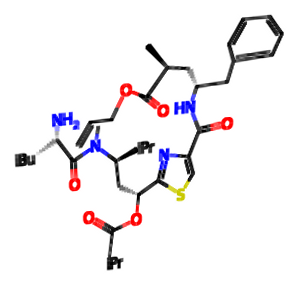 C=CCOC(=O)[C@@H](C)C[C@H](Cc1ccccc1)NC(=O)c1csc([C@@H](C[C@H](C(C)C)N(C)C(=O)[C@@H](N)[C@@H](C)CC)OC(=O)C(C)C)n1